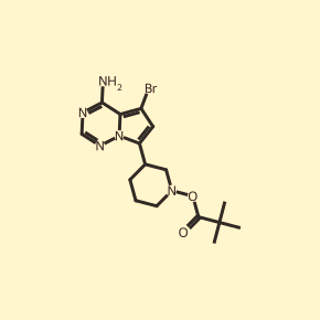 CC(C)(C)C(=O)ON1CCCC(c2cc(Br)c3c(N)ncnn23)C1